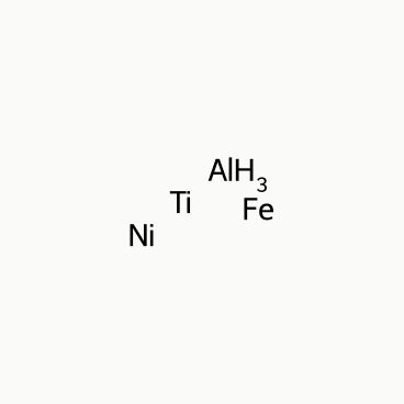 [AlH3].[Fe].[Ni].[Ti]